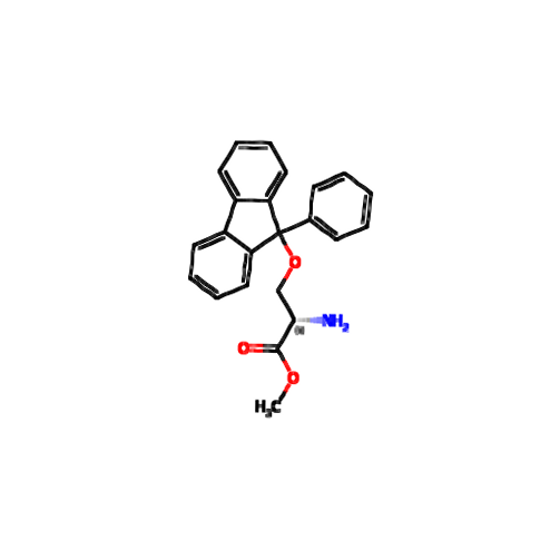 COC(=O)[C@@H](N)COC1(c2ccccc2)c2ccccc2-c2ccccc21